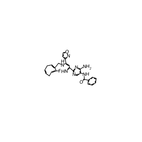 N=C(/C=C(\NCC1=C/C/C=C\C\C=C\1F)c1ccon1)c1ncc(NC(=O)c2ccccc2)c(N)n1